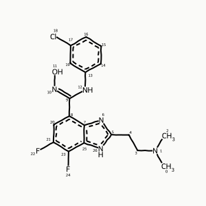 CN(C)CCc1nc2c(/C(=N/O)Nc3cccc(Cl)c3)cc(F)c(F)c2[nH]1